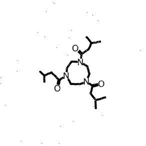 CC(C)CC(=O)N1CCN(C(=O)CC(C)C)CCN(C(=O)CC(C)C)CC1